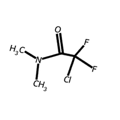 CN(C)C(=O)C(F)(F)Cl